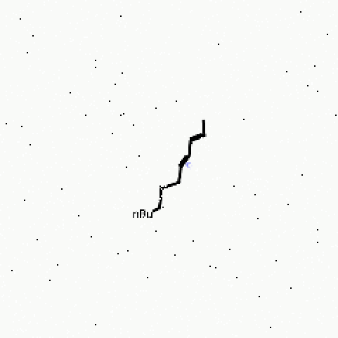 CC=C/C=C/CC[CH]CCCC